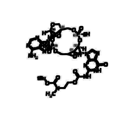 CN(CCOC(=O)Nc1nc2c(ncn2[C@@H]2OC3CO[P@](=O)(S)O[C@H]4[C@H]5OC[C@]4(CO[P@](=O)(S)O[C@@H]2[C@@H]3F)O[C@H]5n2cnc3c(N)ncnc32)c(=O)[nH]1)C(=O)OC(C)(C)C